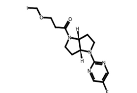 O=C(CCOCI)N1CC[C@@H]2[C@H]1CCN2c1ncc(F)cn1